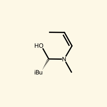 C/C=C\N(C)C(O)[C@@H](C)CC